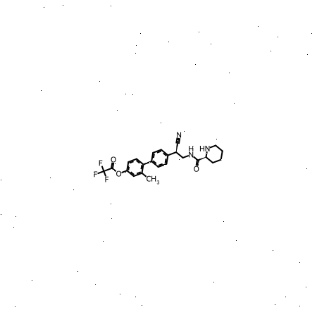 Cc1cc(OC(=O)C(F)(F)F)ccc1-c1ccc([C@@H](C#N)CNC(=O)[C@@H]2CCCCN2)cc1